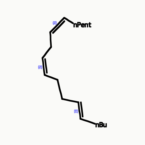 [CH2]CCC/C=C/CC/C=C\C/C=C\CCCCC